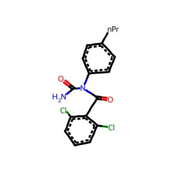 CCCc1ccc(N(C(N)=O)C(=O)c2c(Cl)cccc2Cl)cc1